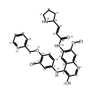 CCOc1cc2ncc(C#N)c(Nc3ccc(OCc4ccccn4)c(Cl)c3)c2cc1NC(=O)C=CC1CCCN1